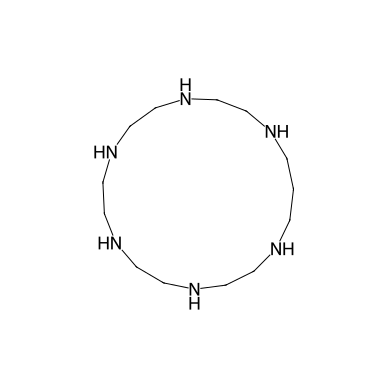 C1CNCCNCCNCCNCCNCCNC1